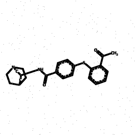 CC(=O)c1ccccc1Sc1ccc(C(=O)NC2CC3CCN(CC3)C2)cc1